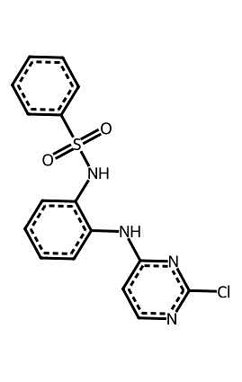 O=S(=O)(Nc1ccccc1Nc1ccnc(Cl)n1)c1ccccc1